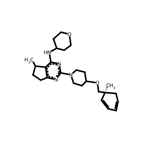 CC1CCc2nc(N3CCC(OC[C@]4(C)C=CC=CC4)CC3)nc(NC3CCOCC3)c21